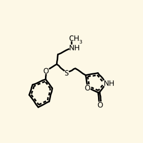 CNCC(Oc1ccccc1)SCc1c[nH]c(=O)o1